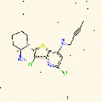 CC#CCNc1cc(Cl)nc2c(Cl)c([C@H]3CCCC[C@@H]3N)sc12